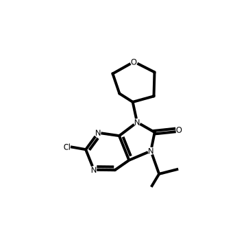 CC(C)n1c(=O)n(C2CCOCC2)c2nc(Cl)ncc21